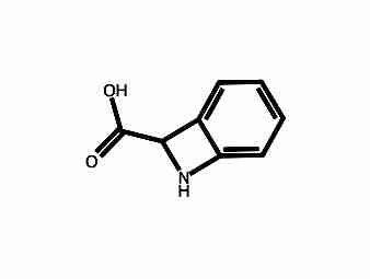 O=C(O)[C]1Nc2ccccc21